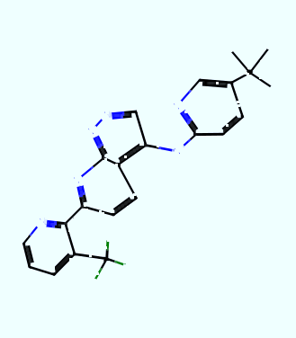 CC(C)(C)c1ccc(Nc2cnnc3nc(-c4ncccc4C(F)(F)F)ccc23)nc1